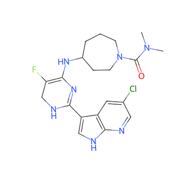 CN(C)C(=O)N1CCCC(NC2=C(F)CNC(c3c[nH]c4ncc(Cl)cc34)=N2)CC1